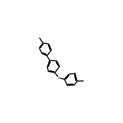 Cc1ccc(Oc2ccc(-c3ccc(C)cc3)cc2)cc1